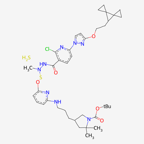 CN(NC(=O)c1ccc(-n2ccc(OCCC3C4(CC4)C34CC4)n2)nc1Cl)SOc1cccc(NCCCC2CN(C(=O)OC(C)(C)C)C(C)(C)C2)n1.S